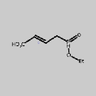 CCO[PH](=O)C/C=C/C(=O)O